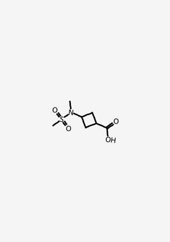 CN(C1CC(C(=O)O)C1)S(C)(=O)=O